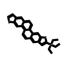 CC[Si](CC)(CC)c1cc2cc3ccc4c5cc6sccc6cc5ccc4c3cc2s1